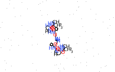 CN[C@@H](C)C(=O)N[C@H]1CCCC[C@H]2CC[C@@H](C(=O)N[C@@H](COCc3cn(CCOC[C@@H](NC(=O)[C@@H]4CC[C@@H]5CCCC[C@H](NC(=O)[C@H](C)NC)C(=O)N54)c4ccccc4)nn3)c3ccccc3)N2C1=O